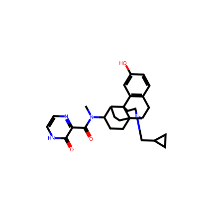 CN(C(=O)c1ncc[nH]c1=O)C1CCC23CCC1C21CCN(CC2CC2)C3Cc2ccc(O)cc21